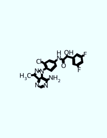 Cc1nn(-c2ccc(NC(=O)C(O)c3cc(F)cc(F)c3)cc2Cl)c2c(N)ncnc12